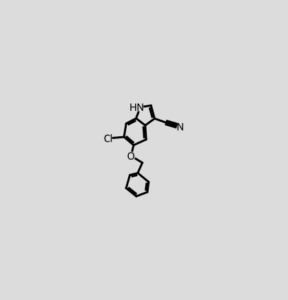 N#Cc1c[nH]c2cc(Cl)c(OCc3ccccc3)cc12